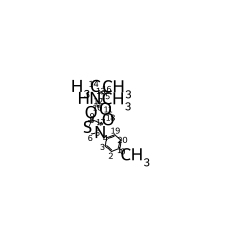 Cc1ccc(N2CSC(OC(=O)NC(C)(C)C)C2=O)cc1